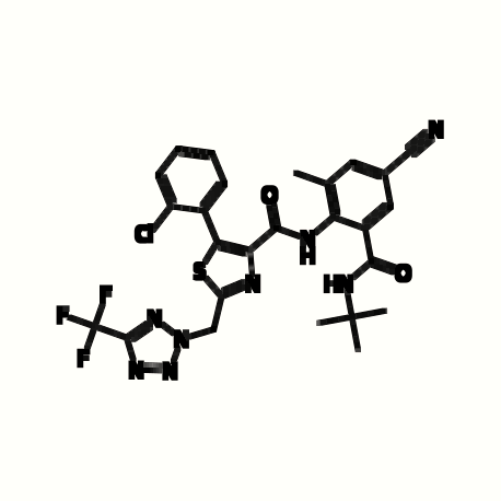 Cc1cc(C#N)cc(C(=O)NC(C)(C)C)c1NC(=O)c1nc(Cn2nnc(C(F)(F)F)n2)sc1-c1ccccc1Cl